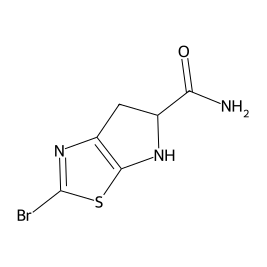 NC(=O)C1Cc2nc(Br)sc2N1